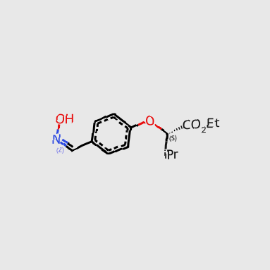 CCOC(=O)[C@@H](Oc1ccc(/C=N\O)cc1)C(C)C